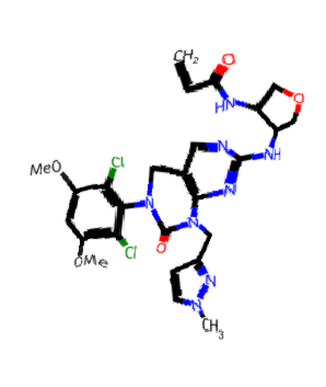 C=CC(=O)NC1COCC1Nc1ncc2c(n1)N(Cc1ccn(C)n1)C(=O)N(c1c(Cl)c(OC)cc(OC)c1Cl)C2